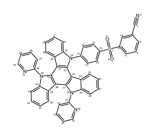 N#Cc1cccc(S(=O)(=O)c2ccc(-n3c4ccccc4c4c3c3c5ccccc5n(-c5ccccn5)c3c3c5ccccc5n(-c5ccccn5)c43)cc2)c1